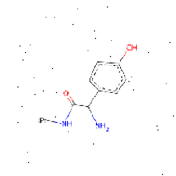 CC(C)NC(=O)C(N)c1ccc(O)cc1